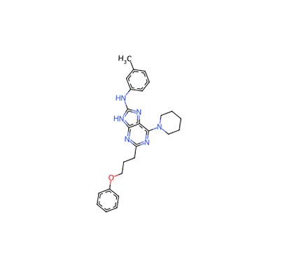 Cc1cccc(Nc2nc3c(N4CCCCC4)nc(CCCOc4ccccc4)nc3[nH]2)c1